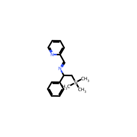 C[Si](C)(C)CC(N=Cc1ccccn1)c1ccccc1